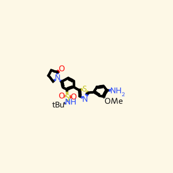 COc1cc(-c2ncc(-c3ccc(N4CCCC4=O)cc3S(=O)(=O)NC(C)(C)C)s2)ccc1N